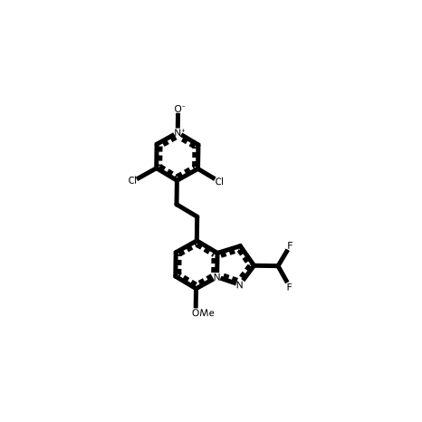 COc1ccc(CCc2c(Cl)c[n+]([O-])cc2Cl)c2cc(C(F)F)nn12